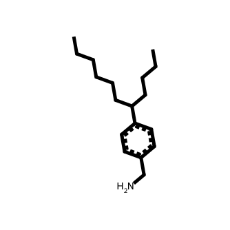 CCCCCCC(CCCC)c1ccc(CN)cc1